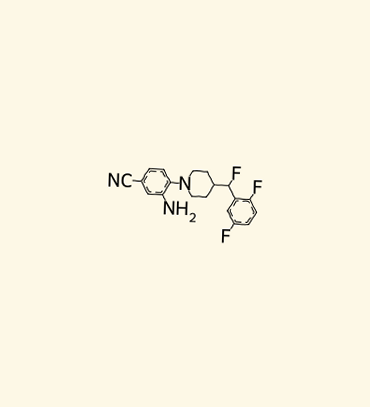 N#Cc1ccc(N2CCC(C(F)c3cc(F)ccc3F)CC2)c(N)c1